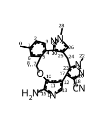 Cc1ccc2c(c1)[C@@H](C)Oc1cc(cnc1N)-c1c(C#N)nn(C)c1Cc1cn(C)nc1-2